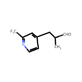 CC(C=O)Cc1ccnc(C(F)(F)F)c1